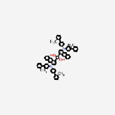 Cc1ccccc1-c1ccc(N(c2ccc(-c3ccccc3C)cc2)c2ccc(C3C(O)C(c4ccc(N(c5ccc(-c6ccccc6C)cc5)c5ccc(-c6ccccc6C)cc5)c5cc6ccccc6cc45)C3O)c3cc4ccccc4cc23)cc1